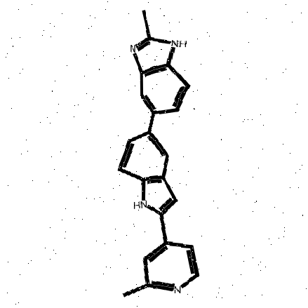 Cc1cc(-c2cc3cc(-c4ccc5[nH]c(C)nc5c4)ccc3[nH]2)ccn1